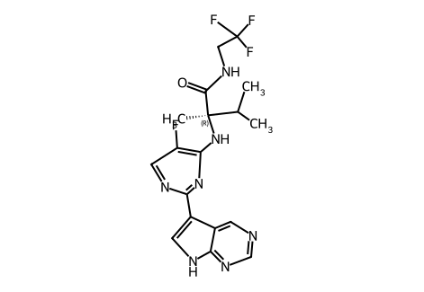 CC(C)[C@@](C)(Nc1nc(-c2c[nH]c3ncncc23)ncc1F)C(=O)NCC(F)(F)F